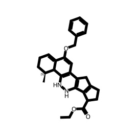 CCOC(=O)C1CCC2=C1C1=C(C2)C2=C(NN1)C1C(=CCC[C@@H]1C)C(OCc1ccccc1)=C2